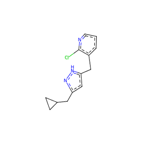 Clc1ncccc1Cc1cc(CC2CC2)n[nH]1